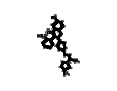 CC1=C(c2ccccc2C(=O)O)C(c2ccc(OCC(C)N3CCC(C)C3)cc2)Oc2ccc(O)cc21